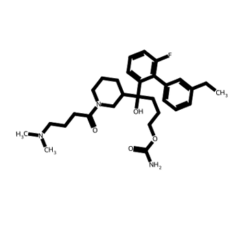 CCc1cccc(-c2c(F)cccc2C(O)(CCCOC(N)=O)C2CCCN(C(=O)CCCN(C)C)C2)c1